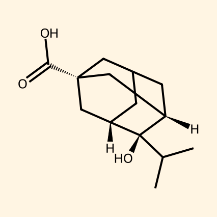 CC(C)[C@]1(O)[C@H]2CC3C[C@H]1C[C@](C(=O)O)(C3)C2